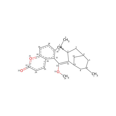 CCC1CC2CC(C)CC(C2)/C1=C(\OC)c1c(C)ccc2oc(=O)ccc12